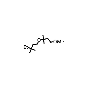 CCC(C)(C)CCOC(C)(C)CCOC